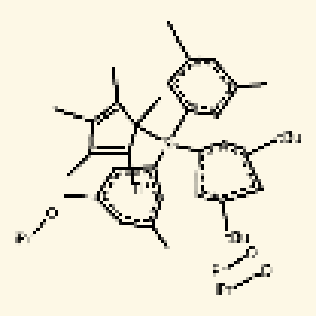 CC(C)[O-].CC(C)[O-].CC(C)[O-].CC1=C(C)C(C)([Si](c2cc(C)cc(C)c2)(c2cc(C)cc(C)c2)c2cc(C(C)(C)C)cc(C(C)(C)C)c2)[C]([Ti+3])=C1C